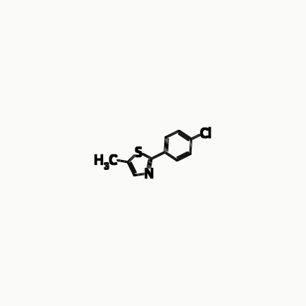 Cc1cnc(-c2ccc(Cl)cc2)s1